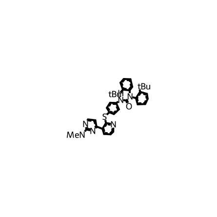 CNc1nccc(-c2cccnc2Sc2ccc(NC(=O)N(c3ccccc3C(C)(C)C)c3ccccc3C(C)(C)C)cc2)n1